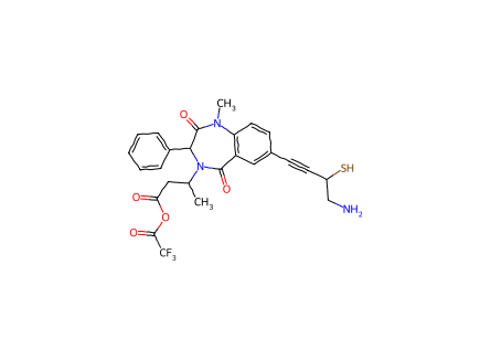 CC(CC(=O)OC(=O)C(F)(F)F)N1C(=O)c2cc(C#CC(S)CN)ccc2N(C)C(=O)C1c1ccccc1